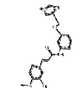 COc1ccc(/C=C/C(=O)Nc2cccc(OCc3c[nH]cn3)c2)cc1O